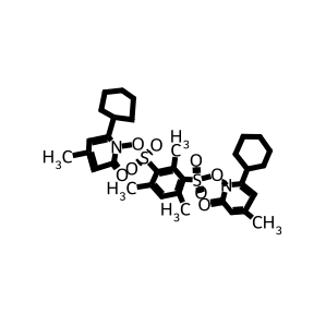 Cc1cc(C2CCCCC2)n(OS(=O)(=O)c2c(C)cc(C)c(S(=O)(=O)On3c(C4CCCCC4)cc(C)cc3=O)c2C)c(=O)c1